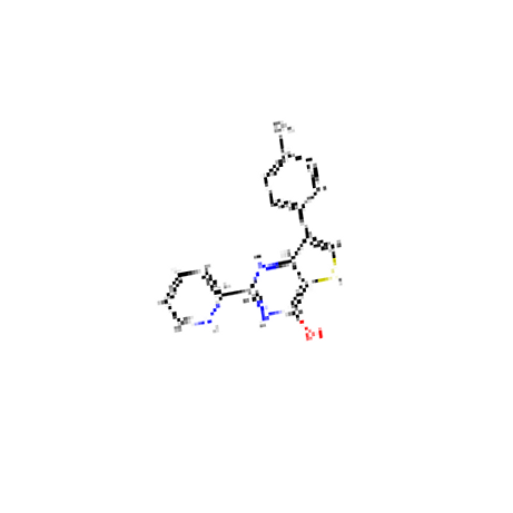 Cc1ccc(-c2csc3c(O)nc(-c4ccccn4)nc23)cc1